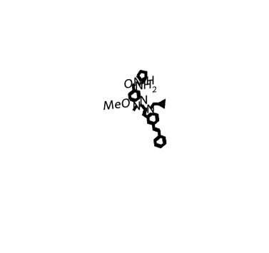 COc1cc(C(=O)N2C[C@H]3CCC2C3N)cc2nc(-c3cc4cc(/C=C/c5ccccc5)ccc4n3CC3CC3)n(C)c12